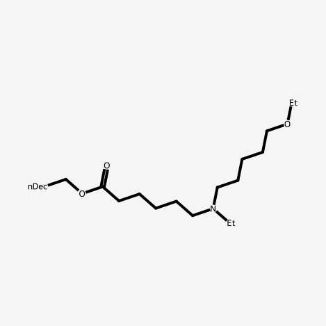 CCCCCCCCCCCOC(=O)CCCCCN(CC)CCCCCOCC